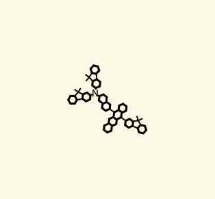 CC1(C)c2ccccc2-c2ccc(-c3c4ccccc4c(-c4ccc5cc(N(c6ccc7c(c6)C(C)(C)c6ccccc6-7)c6ccc7c(c6)C(C)(C)c6ccccc6-7)ccc5c4)c4cc5ccccc5cc34)cc21